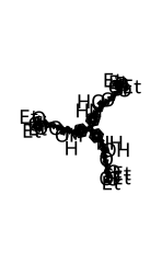 CCO[Si](CCCOCC(O)CNc1ccc(C(c2ccc(NCC(O)COCCC[Si](OCC)(OCC)OCC)cc2)c2ccc(NCC(O)COCCC[Si](OCC)(OCC)OCC)cc2)cc1)(OCC)OCC